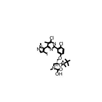 Cc1c(Cl)nc(-c2cc(OC[C@@H](CN(C)C(=O)O)O[Si](C)(C)C(C)(C)C)ccc2Cl)nc1-c1c(I)cnn1C